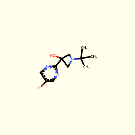 CC(C)(C)N1CC(O)(c2ncc(Br)cn2)C1